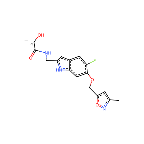 Cc1cc(COc2cc3[nH]c(CNC(=O)[C@H](C)O)cc3cc2F)on1